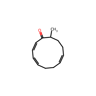 CC1CCC=CCCC=CC=CC1=O